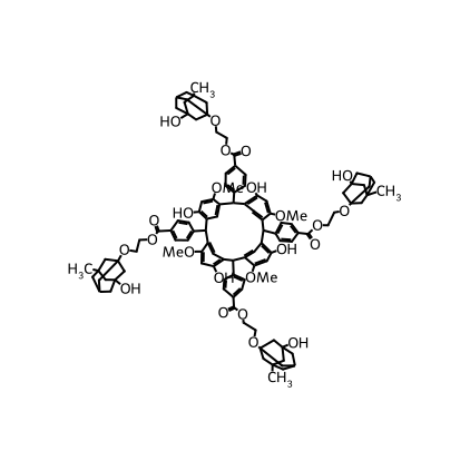 COc1cc(O)c2cc1C(c1ccc(C(=O)OCCOC34CC5CC(C)(CC(O)(C5)C3)C4)cc1)c1cc(c(OC)cc1O)C(c1ccc(C(=O)OCCOC34CC5CC(C)(CC(O)(C5)C3)C4)cc1)c1cc(c(OC)cc1O)C(c1ccc(C(=O)OCCOC34CC5CC(C)(CC(O)(C5)C3)C4)cc1)c1cc(c(OC)cc1O)C2c1ccc(C(=O)OCCOC23CC4CC(C)(CC(O)(C4)C2)C3)cc1